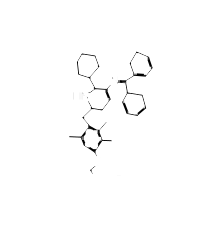 CCOC(=O)COc1cc(C)c(CC2CC=C(N=C(C3=CC=CCC3)C3C=CC=CC3)C(C3CCCCC3)N2)c(C)c1C